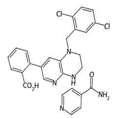 NC(=O)c1ccncc1.O=C(O)c1ccccc1-c1cnc2c(c1)N(Cc1cc(Cl)ccc1Cl)CCN2